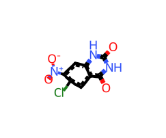 O=c1[nH]c(=O)c2cc(Cl)c([N+](=O)[O-])cc2[nH]1